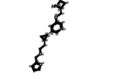 c1coc(COCC[C@H]2C[C@@H]2c2cncc(OC[C@@H]3CCN3)c2)c1